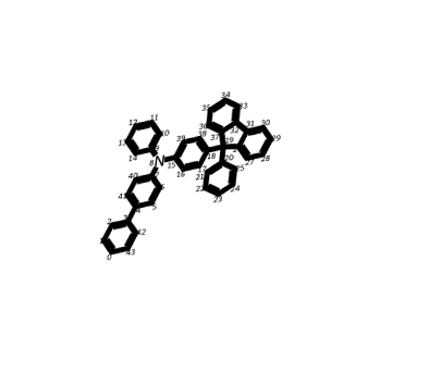 c1ccc(-c2ccc(N(c3ccccc3)c3ccc(C4(c5ccccc5)c5ccccc5-c5ccccc54)cc3)cc2)cc1